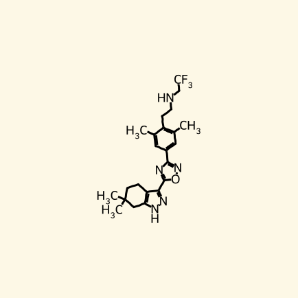 Cc1cc(-c2noc(-c3n[nH]c4c3CCC(C)(C)C4)n2)cc(C)c1CCNCC(F)(F)F